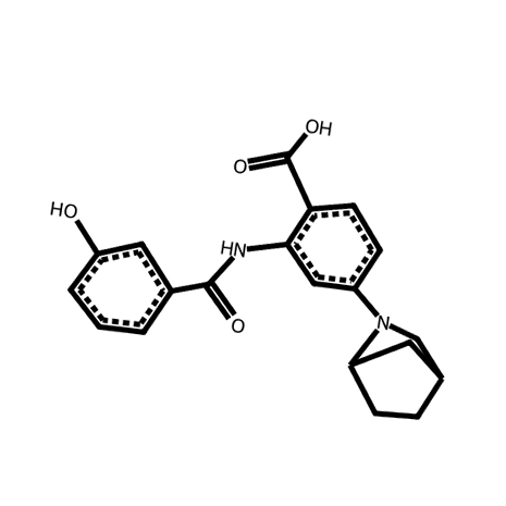 O=C(Nc1cc(N2CC3CCC2C3)ccc1C(=O)O)c1cccc(O)c1